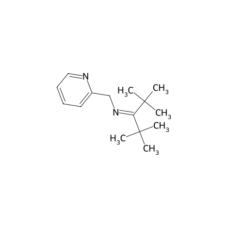 CC(C)(C)C(=NCc1ccccn1)C(C)(C)C